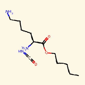 CCCCCOC(=O)C(N)CCCCN.N=C=O